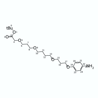 CC(C)(C)OC(=O)COCCCOCCCCOCCCOc1ccc(N)cc1